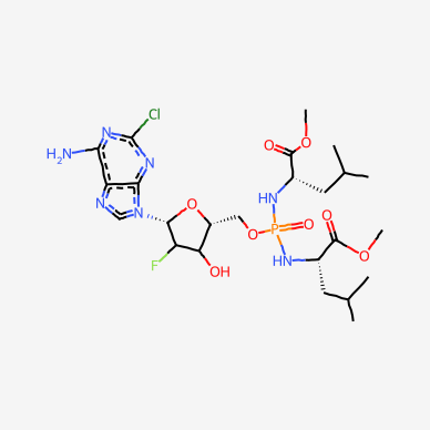 COC(=O)[C@H](CC(C)C)NP(=O)(N[C@@H](CC(C)C)C(=O)OC)OC[C@H]1O[C@@H](n2cnc3c(N)nc(Cl)nc32)C(F)C1O